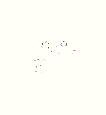 Cc1cc([C@@H](C)O[C@H]2OCCN(Cc3n[nH]c(OP(=O)(O)O)n3)[C@H]2c2ccc(F)cc2)cc(C(F)(F)F)c1